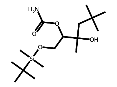 CC(C)(C)CC(C)(O)C(CO[Si](C)(C)C(C)(C)C)OC(N)=O